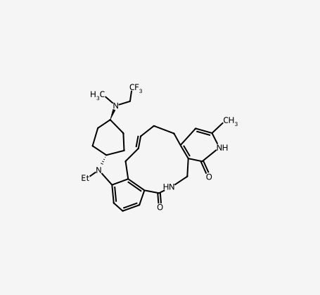 CCN(c1cccc2c1C/C=C/CCc1cc(C)[nH]c(=O)c1CNC2=O)[C@H]1CC[C@H](N(C)CC(F)(F)F)CC1